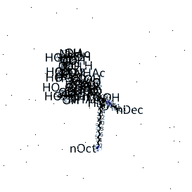 CCCCCCCC/C=C\CCCCCCCCCCCCCC(=O)N[C@@H](CO[C@@H]1OC(CO)[C@@H](O[C@@H]2OC(CO)[C@H](O)[C@H](O[C@@H]3OC(CO[C@]4(C(=O)O)CC(O)[C@@H](NC(C)=O)C([C@H](O)[C@H](O)CO)O4)[C@@H](O)[C@H](O[C@@H]4OC(CO)[C@H](O)[C@H](O[C@]5(C(=O)O)CC(O)[C@@H](NC(C)=O)C([C@H](O)[C@H](O)CO)O5)C4O)C3NC(C)=O)C2O)[C@H](O)C1O)[C@H](O)/C=C/CCCCCCCCCCCCC